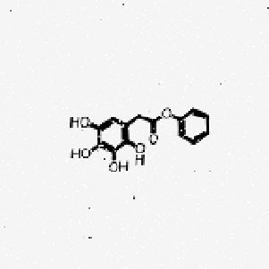 O=C(Cc1cc(O)c(O)c(O)c1O)Oc1ccccc1